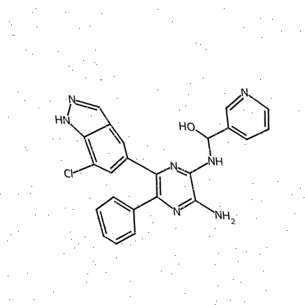 Nc1nc(-c2ccccc2)c(-c2cc(Cl)c3[nH]ncc3c2)nc1NC(O)c1cccnc1